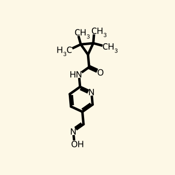 CC1(C)C(C(=O)Nc2ccc(C=NO)cn2)C1(C)C